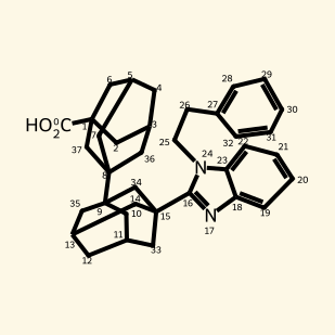 O=C(O)C12CC3CC(C1)CC(C14CC5CC(CC(c6nc7ccccc7n6CCc6ccccc6)(C5)C1)C4)(C3)C2